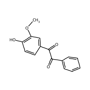 COc1cc(C(=O)C(=O)c2ccccc2)ccc1O